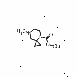 CN1CCN(C(=O)OC(C)(C)C)C2(CC2)C1